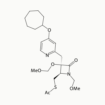 COCO[C@@]1(Cc2cc(OC3CCCCCC3)ccn2)C(=O)N(COC)[C@H]1CSC(C)=O